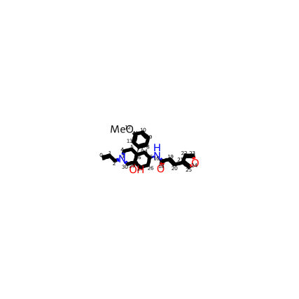 C=CCN1CC[C@@]2(c3cccc(OC)c3)C[C@@H](NC(=O)C=Cc3ccoc3)CC[C@]2(O)C1